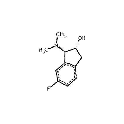 CN(C)[C@@H]1c2cc(F)ccc2C[C@H]1O